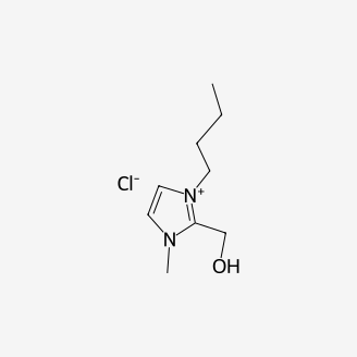 CCCC[n+]1ccn(C)c1CO.[Cl-]